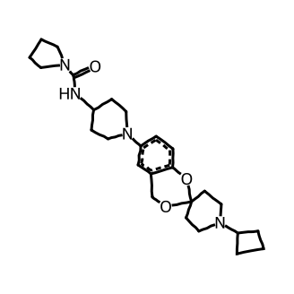 O=C(NC1CCN(c2ccc3c(c2)COC2(CCN(C4CCC4)CC2)O3)CC1)N1CCCC1